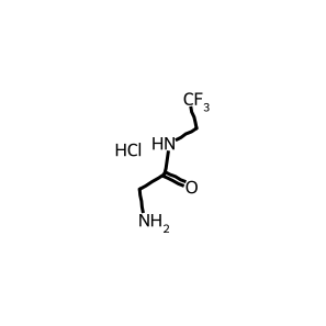 Cl.NCC(=O)NCC(F)(F)F